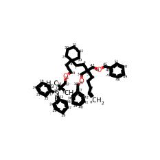 C=CCCCC(CCC1(CCOCC(C)(C)[SiH](c2ccccc2)c2ccccc2)CCCCC1)(COCc1ccccc1)COCc1ccccc1